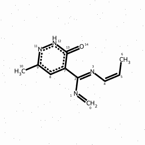 C=N/C(=N\C=C/C)c1cc(C)n[nH]c1=O